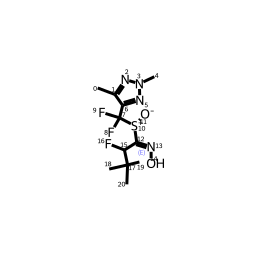 Cc1nn(C)nc1C(F)(F)[S+]([O-])/C(=N/O)C(F)C(C)(C)C